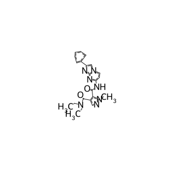 CCN(CC)C(=O)c1cnn(C)c1C(=O)Nc1ccn2cc(-c3ccccc3)nc2n1